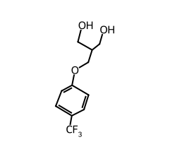 OCC(CO)COc1ccc(C(F)(F)F)cc1